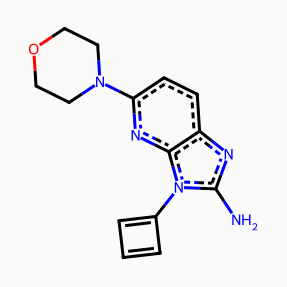 Nc1nc2ccc(N3CCOCC3)nc2n1C1=CC=C1